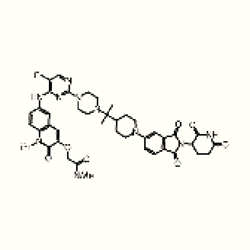 CNC(=O)COc1cc2cc(Nc3nc(N4CCN(C(C)(C)C5CCN(c6ccc7c(c6)C(=O)N(C6CCC(=O)NC6=O)C7=O)CC5)CC4)ncc3Cl)ccc2n(C(C)C)c1=O